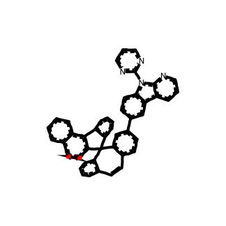 C1=Cc2ccc(-c3ccc4c(c3)c3cccnc3n4-c3ncccn3)cc2C2(c3ccccc31)c1ccccc1-c1c2c2ccccc2c2ccccc12